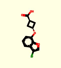 O=C(O)[C@H]1C[C@H](Oc2cccc3c(Br)coc23)C1